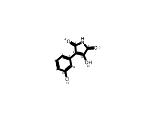 O=C1NC(=O)C(c2cccc(Cl)c2)=C1O